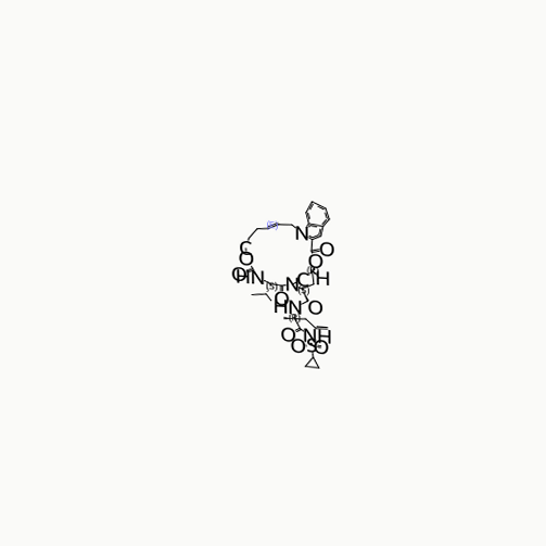 C=CC[C@@](C)(NC(=O)[C@@H]1C[C@@H]2CN1C(=O)[C@H](C(C)C)NC(=O)OCCC/C=C/Cn1c(cc3ccccc31)C(=O)O2)C(=O)NS(=O)(=O)C1CC1